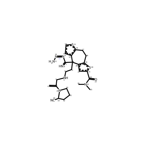 C=C(CNCCC1(C(=N)/N=N\N)c2ccsc2CCc2sc(C(=O)N(C)C)cc21)N1CCCC1C#N